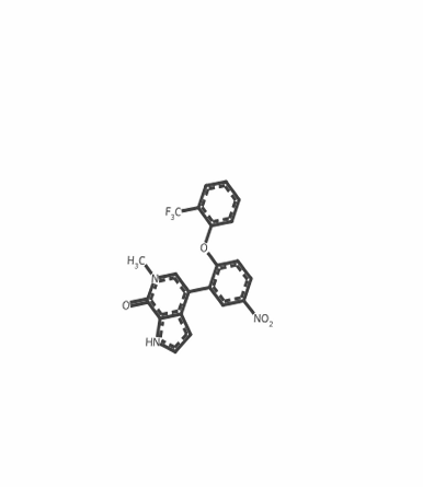 Cn1cc(-c2cc([N+](=O)[O-])ccc2Oc2ccccc2C(F)(F)F)c2cc[nH]c2c1=O